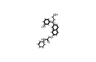 O=C(COc1ccc2ccc(C(CCO)c3cccc(Cl)c3)cc2c1)NC1C=CCCC1